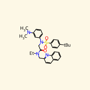 CCN(Cc1ccc2ccccc2n1)C(=O)CN(c1cccc(N(C)C)c1)S(=O)(=O)c1ccc(C(C)(C)C)cc1